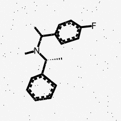 CC(c1ccc(F)cc1)N(C)[C@H](C)c1ccccc1